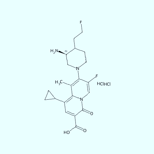 Cc1c(N2CCC(CCF)[C@H](N)C2)c(F)cn2c(=O)c(C(=O)O)cc(C3CC3)c12.Cl.Cl